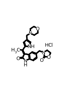 CC(=C1C(=O)Nc2ccc(CN3CCOC3=O)cc21)c1cc(CN2CCOCC2)c[nH]1.Cl